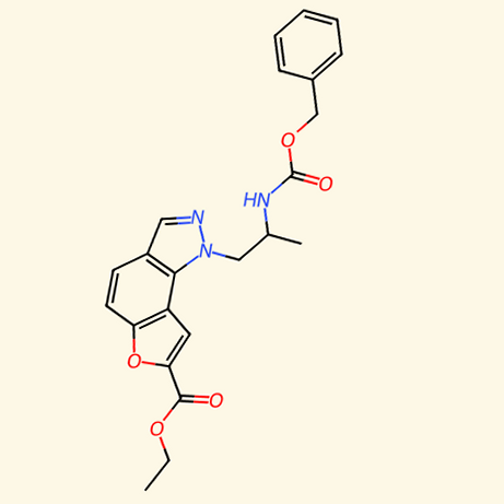 CCOC(=O)c1cc2c(ccc3cnn(CC(C)NC(=O)OCc4ccccc4)c32)o1